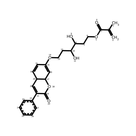 C=C(C)C(=O)OCCC(O)C(O)CCOC1=CC2OC(=O)C(c3ccccc3)=CC2C=C1